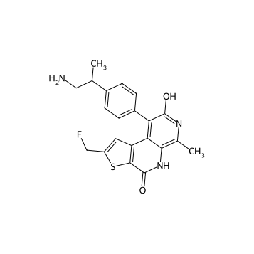 Cc1nc(O)c(-c2ccc(C(C)CN)cc2)c2c1[nH]c(=O)c1sc(CF)cc12